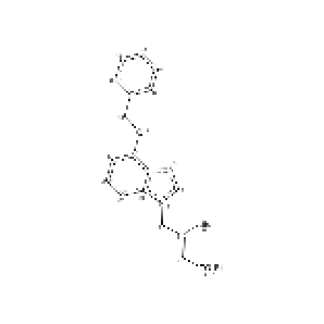 CCOC(=O)/C=C(/Cn1cnc2c(OCc3ccccc3)cccc21)C(C)(C)C